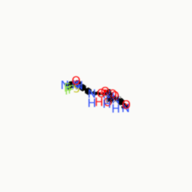 Cc1ncoc1-c1ccc([C@H](C)NC(=O)[C@@H]2C[C@@H](O)CN2C(=O)[C@@H](NC(=O)COCCCCNc2ccc(-c3ccc(N4C(=S)N(c5ccc(C#N)c(C(F)(F)F)c5)C(=O)C4(C)C)cc3)cc2)C(C)(C)C)cc1